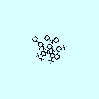 Cc1cc(-c2ccccc2)ccc1N1c2cc3c(cc2B2c4cc(C(C)(C)C)ccc4N(c4ccc(C(C)(C)C)cc4-c4ccccc4)c4cc(N(c5ccccc5)c5ccccc5)cc1c42)C(C)(C)CC3(C)C